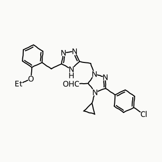 CCOc1ccccc1Cc1nnc(CN2N=C(c3ccc(Cl)cc3)N(C3CC3)C2C=O)[nH]1